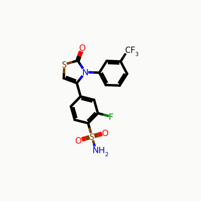 NS(=O)(=O)c1ccc(-c2csc(=O)n2-c2cccc(C(F)(F)F)c2)cc1F